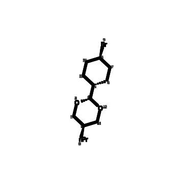 CCC[C@H]1CO[C@H]([C@H]2CC[C@H](Br)CC2)OC1